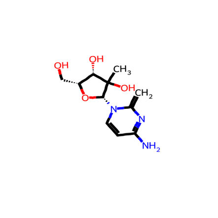 C=C1N=C(N)C=CN1[C@@H]1O[C@H](CO)[C@H](O)C1(C)O